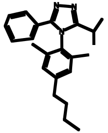 CCCCc1cc(C)c(-n2c(-c3ccccc3)nnc2C(C)C)c(C)c1